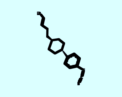 CCC=CCC[C@H]1CC[C@H](c2ccc(N=C=S)cc2)CC1